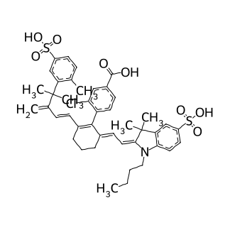 C=C(/C=C/C1=C(c2ccc(C(=O)O)cc2Cl)C(=C/C=C2/N(CCCC)c3ccc(S(=O)(=O)O)cc3C2(C)C)/CCC1)C(C)(C)c1cc(S(=O)(=O)O)ccc1C